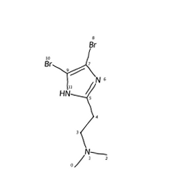 CN(C)CCc1nc(Br)c(Br)[nH]1